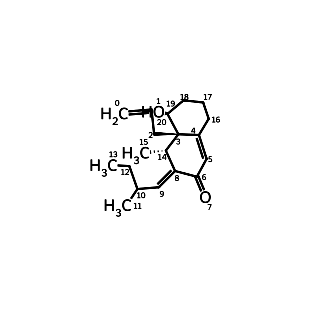 C=CC[C@@]12C(=CC(=O)/C(=C/C(C)CC)[C@@H]1C)CCC[C@@H]2O